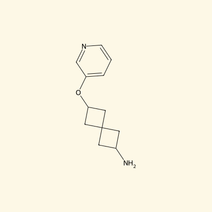 NC1CC2(C1)CC(Oc1cccnc1)C2